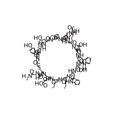 CCCC[C@H]1C(=O)N(C)[C@@H](CCCC)C(=O)N[C@@H](CCC(=O)O)C(=O)N[C@H](C(=O)NCC(N)=O)CSCC(=O)N[C@@H](Cc2ccc(O)cc2)C(=O)N(C)[C@@H](C)C(=O)N[C@@H](CC(=O)O)C(=O)N2CCC[C@H]2C(=O)N[C@@H](Cc2c[nH]cn2)C(=O)N[C@@H](CCCCNC(C)=O)C(=O)N2C[C@H](O)C[C@H]2C(=O)N[C@@H](Cc2c[nH]c3ccccc23)C(=O)N[C@@H](CO)C(=O)N[C@@H](Cc2c[nH]c3ccccc23)C(=O)N1C